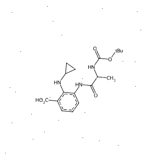 CC(NC(=O)OC(C)(C)C)C(=O)Nc1cccc(C(=O)O)c1NC1CC1